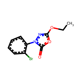 CCOc1nn(-c2ccccc2Br)c(=O)o1